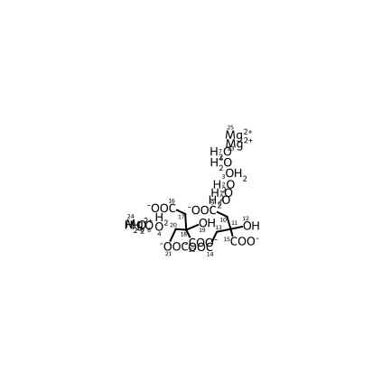 O.O.O.O.O.O.O.O.O.O=C([O-])CC(O)(CC(=O)[O-])C(=O)[O-].O=C([O-])CC(O)(CC(=O)[O-])C(=O)[O-].[Mg+2].[Mg+2].[Mg+2]